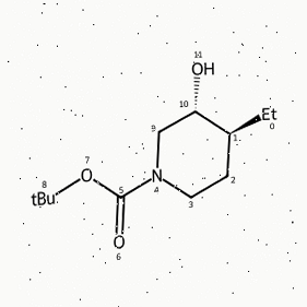 CC[C@H]1CCN(C(=O)OC(C)(C)C)C[C@@H]1O